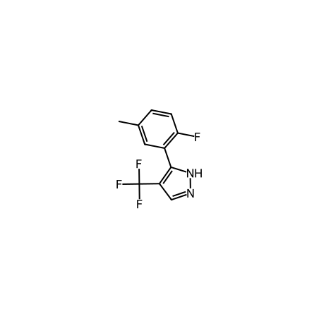 Cc1ccc(F)c(-c2[nH]ncc2C(F)(F)F)c1